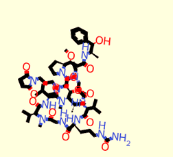 CC[C@H](C)[C@@H]([C@@H](CC(=O)N1CCC[C@H]1[C@H](OC)[C@@H](C)C(=O)N[C@H](C)[C@@H](O)c1ccccc1)OC)N(C)C(=O)[C@@H](NC(=O)[C@H](C(C)C)N(C)C(=O)CNC(=O)[C@H](CCCNC(N)=O)NC(=O)[C@@H](NC(=O)CCN(CC)CCN(CC)CCCN1C(=O)C=CC1=O)C(C)C)C(C)C